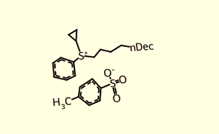 CCCCCCCCCCCCCC[S+](c1ccccc1)C1CC1.Cc1ccc(S(=O)(=O)[O-])cc1